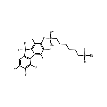 CC[Si](CC)(CC)CCCCCC[Si](Oc1c(F)c(F)c2c(c1F)C(F)(F)c1[c]c(F)c(F)c(F)c1-2)(C(C)C)C(C)(C)C